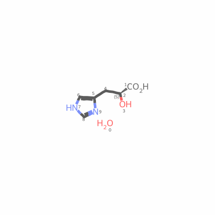 O.O=C(O)[C@@H](O)Cc1c[nH]cn1